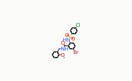 COc1ccccc1CNC(=O)c1cc(Br)ccc1NS(=O)(=O)c1ccc(Cl)cc1